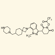 Cn1nc(C2CCC(=O)N(OC(=O)C(F)(F)F)C2=O)c2cccc(N3CC4(CCC(CN5CCNCC5)CC4)C3)c21